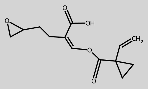 C=CC1(C(=O)OC=C(CCC2CO2)C(=O)O)CC1